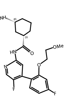 COCCOc1cc(F)ccc1-c1cc(NC(=O)[C@H]2CCC[C@@H](NC(C)=O)C2)ncc1F